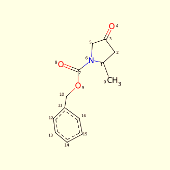 CC1CC(=O)CN1C(=O)OCc1ccccc1